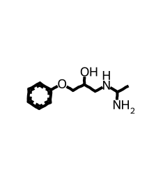 CC(N)NCC(O)COc1ccccc1